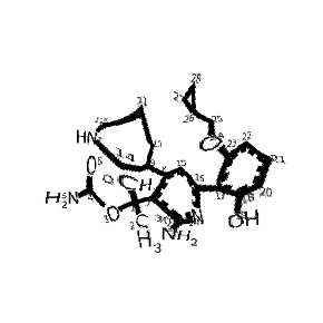 CC(C)(OC(N)=O)c1c(C2CCCNC2)cc(-c2c(O)cccc2OCC2CC2)nc1N